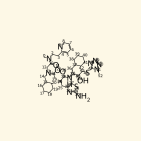 CN(CCc1ccccn1)C(=O)CN(CC1CCCCC1)C(=O)C[C@@H](Cc1csc(N)n1)C(=O)N[C@@H](CC1CCCCC1)[C@@H](O)CSc1nnnn1C